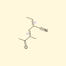 C/C=C(C#N)\C=C(/C)C(C)=O